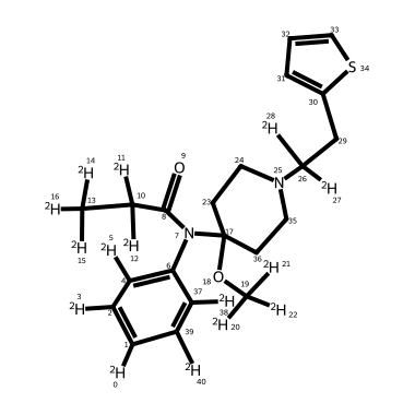 [2H]c1c([2H])c([2H])c(N(C(=O)C([2H])([2H])C([2H])([2H])[2H])C2(OC([2H])([2H])[2H])CCN(C([2H])([2H])Cc3cccs3)CC2)c([2H])c1[2H]